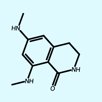 CNc1cc2c(c(NC)c1)C(=O)NCC2